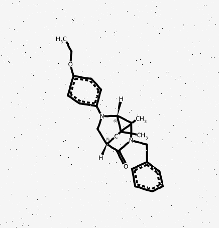 CCOc1ccc(N2C[C@@H]3CC(C)(C)[C@H]2CN(Cc2ccccc2)C3=O)cc1